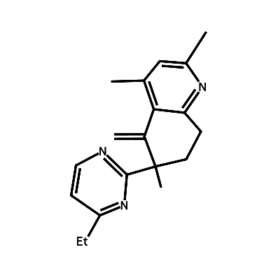 C=C1c2c(C)cc(C)nc2CCC1(C)c1nccc(CC)n1